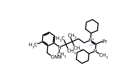 COCc1c(C)cccc1N(C)C(C)(C)C(C)(C)CC/[N+](=C(/C(C)C)N(C)C1CCCCC1)C1CCCCC1